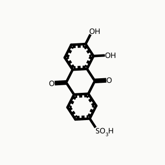 O=C1c2ccc(S(=O)(=O)O)cc2C(=O)c2c1ccc(O)c2O